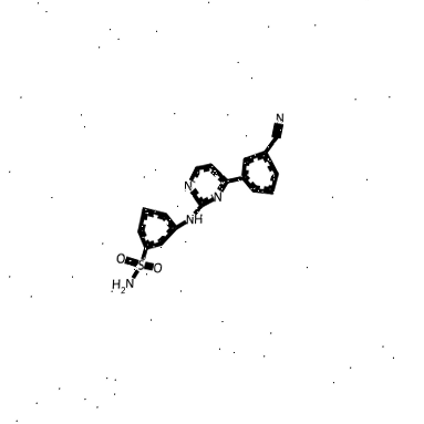 N#Cc1cccc(-c2ccnc(Nc3cccc(S(N)(=O)=O)c3)n2)c1